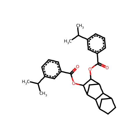 CC(C)c1cccc(C(=O)OC2C3CC(C2OC(=O)c2cccc(C(C)C)c2)C2C4CCC(C4)C32)c1